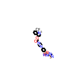 O=C(COc1ccnc2c(C(F)(F)F)cccc12)N1CCN(c2ccc(S(=O)(=O)Nc3ncns3)cc2)CC1